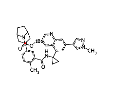 Cc1ccc(N2CC3CCC(C2)N3C(=O)OC(C)(C)C)cc1C(=O)NC1(c2cc(-c3cnn(C)c3)cc3ncccc23)CC1